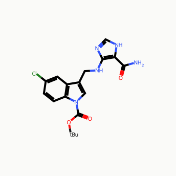 CC(C)(C)OC(=O)n1cc(CNc2nc[nH]c2C(N)=O)c2cc(Cl)ccc21